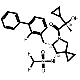 C[C@@](O)(C(=O)N1CC2(CC2)[C@H](NS(=O)(=O)C(F)F)[C@@H]1Cc1cccc(-c2ccccc2)c1F)C1CC1